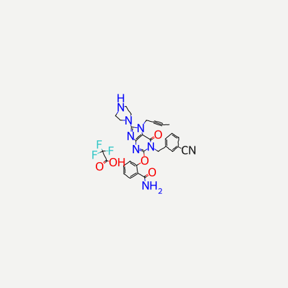 CC#CCn1c(N2CCNCC2)nc2nc(Oc3ccccc3C(N)=O)n(Cc3cccc(C#N)c3)c(=O)c21.O=C(O)C(F)(F)F